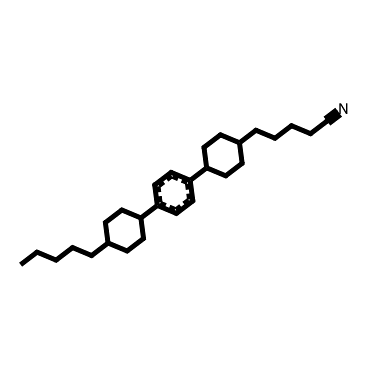 CCCCCC1CCC(c2ccc(C3CCC(CCCCC#N)CC3)cc2)CC1